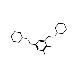 CC(C)(C)c1cc(CSC2CCCCC2)cc(CSC2CCCCC2)c1O